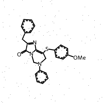 COc1ccc(SC2=C3N=C(Cc4ccccc4)C(=O)N3CN(c3ccccc3)C2)cc1